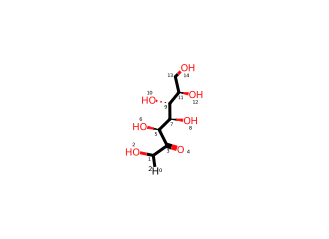 [2H]C(O)C(=O)[C@@H](O)[C@H](O)[C@H](O)[C@H](O)CO